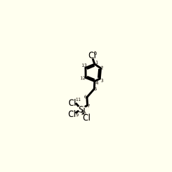 Clc1ccc(CCC[Si](Cl)(Cl)Cl)cc1